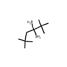 BC(B)(CC(C)(C)C)C(C)(C)C